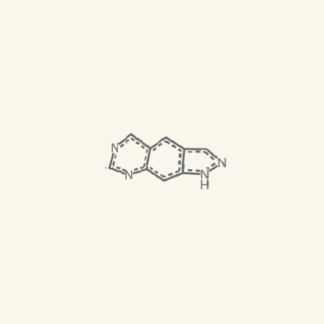 [c]1ncc2cc3cn[nH]c3cc2n1